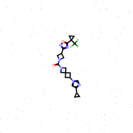 O=C(N1CC(c2noc(C3(C(F)(F)F)CC3)n2)C1)N1CC2(CC(n3cnc(C4CC4)c3)C2)C1